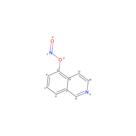 O=NOc1cccc2cnccc12